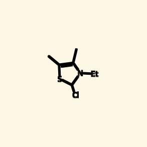 CCN1C(C)=C(C)SC1Cl